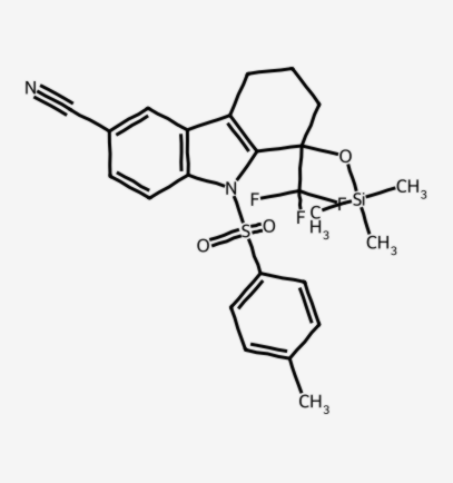 Cc1ccc(S(=O)(=O)n2c3c(c4cc(C#N)ccc42)CCCC3(O[Si](C)(C)C)C(F)(F)F)cc1